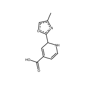 Cc1coc(C2C=C(C(=O)O)C=CN2)n1